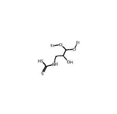 CCOC(OCC)C(O)CNC(=S)S